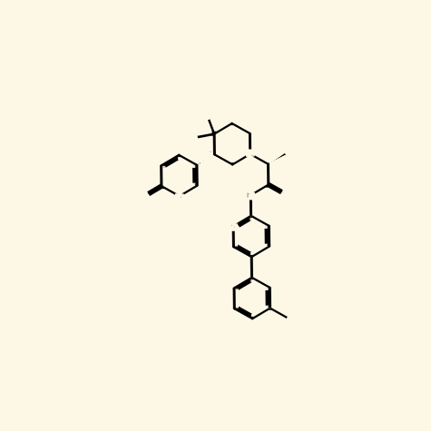 Cc1cccc(-c2ccc(NC(=O)[C@H](C)N3CCC(F)(F)[C@@H](c4ccc(=O)[nH]c4)C3)nc2)c1